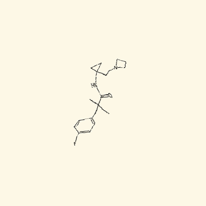 CC(C)(C(=O)NC1(CN2CCC2)CC1)c1ccc(F)cc1